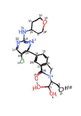 COCC(C(O)O)N1Cc2ccc(-c3nc(NC4CCOCC4)ncc3Cl)cc2C1=O